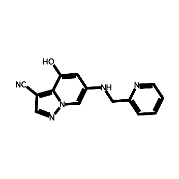 N#Cc1cnn2cc(NCc3ccccn3)cc(O)c12